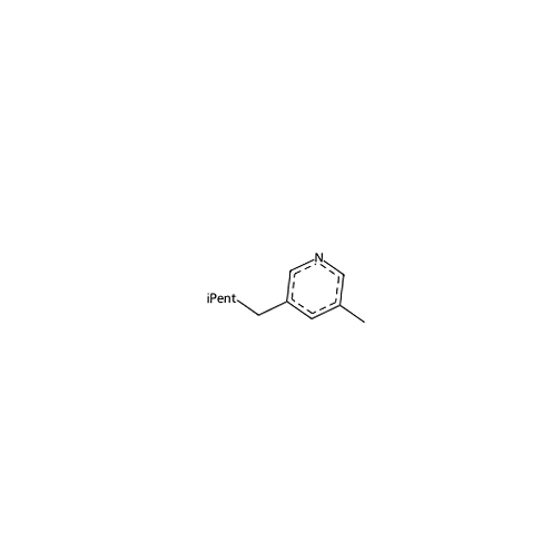 CCCC(C)Cc1cncc(C)c1